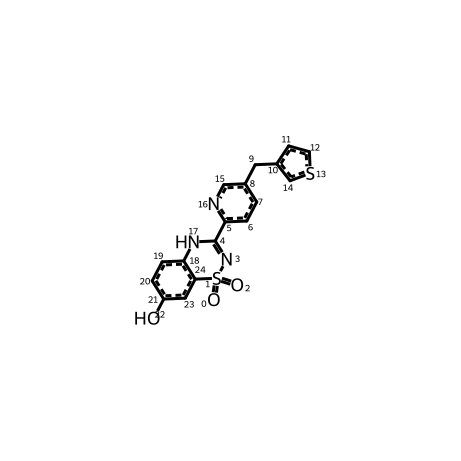 O=S1(=O)N=C(c2ccc(Cc3ccsc3)cn2)Nc2ccc(O)cc21